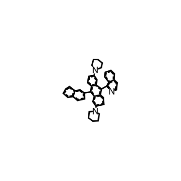 c1ccc2cc(-c3c4cc(N5CCCCC5)ccc4c(-c4nccc5ccccc45)c4cc(N5CCCCC5)ccc34)ccc2c1